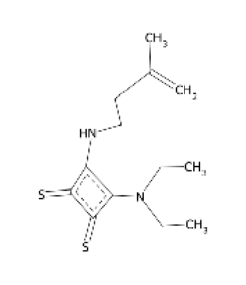 C=C(C)CCNc1c(N(CC)CC)c(=S)c1=S